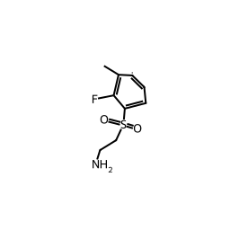 Cc1[c]ccc(S(=O)(=O)CCN)c1F